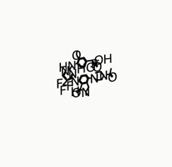 COc1cc(CP(=O)(O)O)ccc1Nc1ncc(C(F)(F)F)c(Nc2ccc(N3CCN(C(C)=O)CC3)c3c2C(=O)N(C)C3)n1